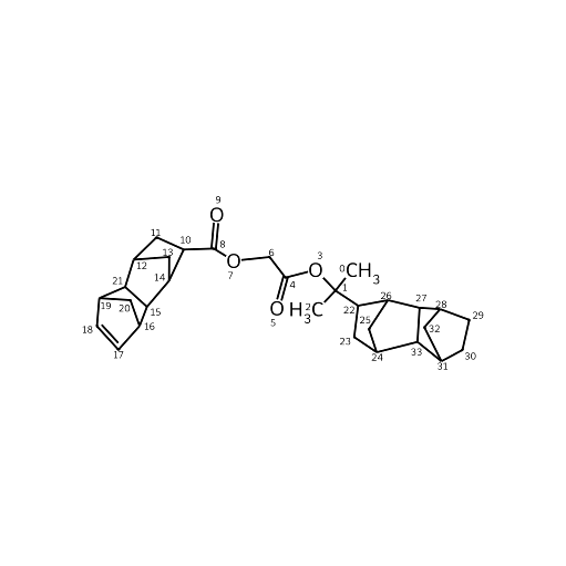 CC(C)(OC(=O)COC(=O)C1CC2CC1C1C3C=CC(C3)C21)C1CC2CC1C1C3CCC(C3)C21